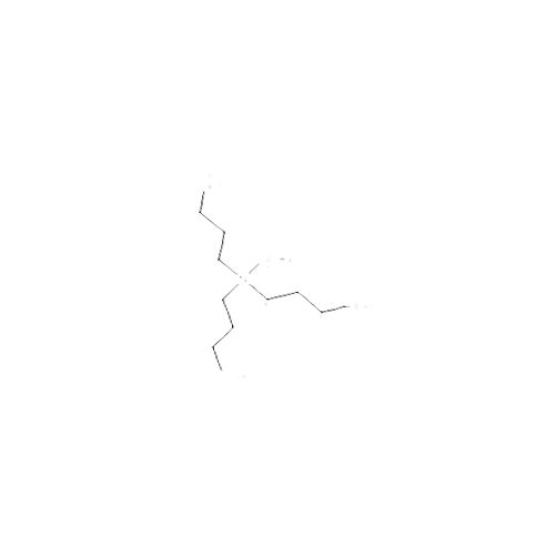 CCCCCCCCCCCCC[N+](CCCCCC)(CCCCCCCCCCCCC)CCCCCCCCCCCCC